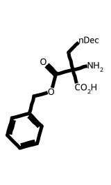 CCCCCCCCCCCC(N)(C(=O)O)C(=O)OCc1ccccc1